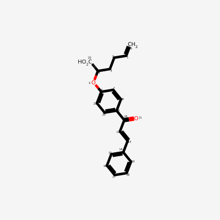 C=CCCC(Oc1ccc(C(=O)C=Cc2ccccc2)cc1)C(=O)O